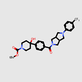 CC(C)(C)OC(=O)N1CCC(O)(c2ccc(C(=O)N3CC4CN(c5ccc(C(F)(F)F)cc5)CC4C3)cc2)CC1